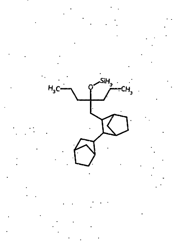 CCCC(CCC)(CC1C2CCC(C2)C1C1CC2CCC1C2)O[SiH3]